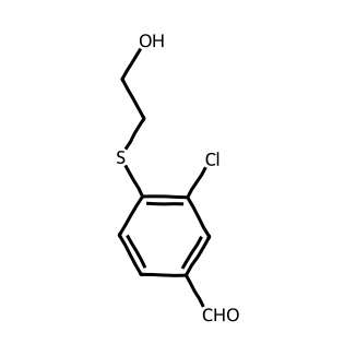 O=Cc1ccc(SCCO)c(Cl)c1